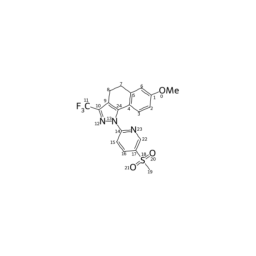 COc1ccc2c(c1)CCc1c(C(F)(F)F)nn(-c3ccc(S(C)(=O)=O)cn3)c1-2